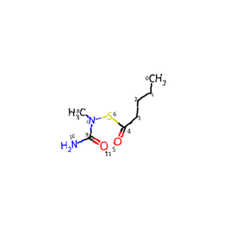 CCCCC(=O)SN(C)C(N)=O